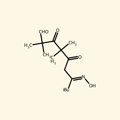 CCC(C)/C(CC(=O)C(C)(C)C(=O)C(C)(C)C=O)=N\O